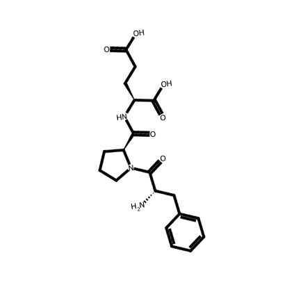 N[C@@H](Cc1ccccc1)C(=O)N1CCC[C@H]1C(=O)N[C@@H](CCC(=O)O)C(=O)O